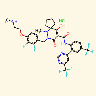 CNCCOc1ccc(CN2C(=O)C(C(=O)Nc3ccc(C(F)(F)F)cc3-c3cc(C(F)(F)F)ncn3)=C(O)C3(CCCC3)N2C)c(F)c1F.Cl